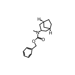 CN(C(=O)OCc1ccccc1)[C@H]1C[C@@H]2CC[C@@H](C2)C1